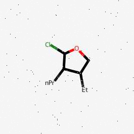 CCCC1C(CC)COC1Cl